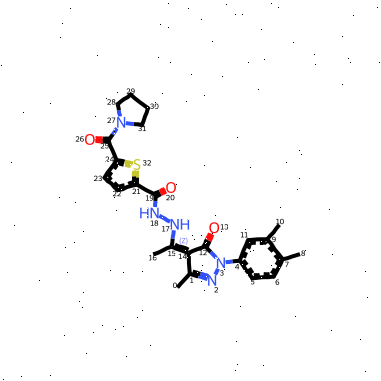 CC1=NN(c2ccc(C)c(C)c2)C(=O)/C1=C(/C)NNC(=O)c1ccc(C(=O)N2CCCC2)s1